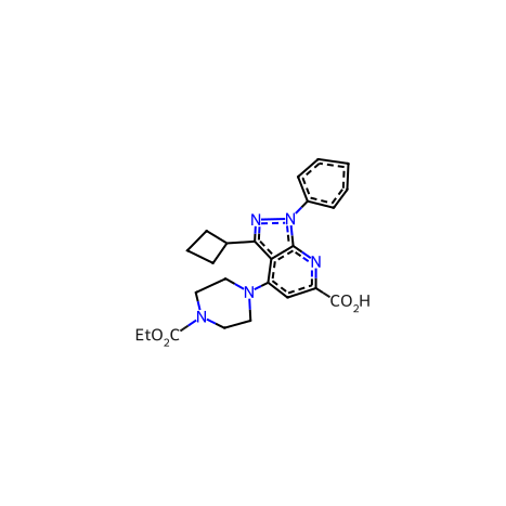 CCOC(=O)N1CCN(c2cc(C(=O)O)nc3c2c(C2CCC2)nn3-c2ccccc2)CC1